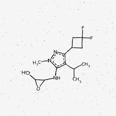 CC(C)c1c(C2CC(F)(F)C2)nn(C)c1NC1OC1O